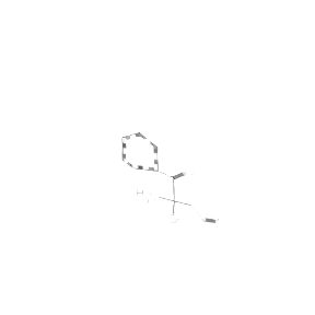 CC(Br)(CC=S)C(=O)c1ccccc1